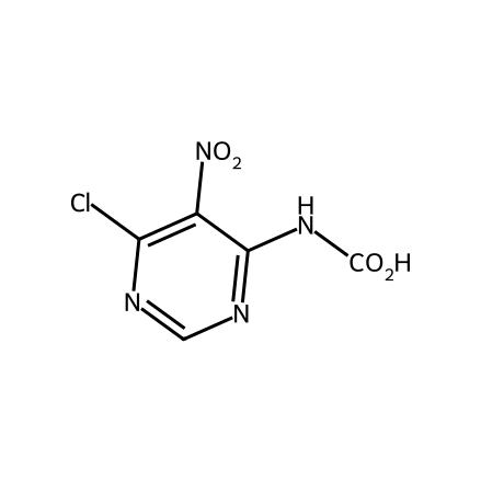 O=C(O)Nc1ncnc(Cl)c1[N+](=O)[O-]